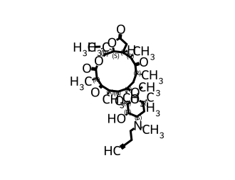 C#CCCN(C)[C@H]1C[C@@H](C)O[C@@H](O[C@@H]2[C@@H](C)C(=O)[C@@H](C)C(=O)O[C@H](CC)[C@@]3(C)OC(=O)C[C@@H]3[C@@H](C)C(=O)[C@H](C)C[C@@]2(C)OC)[C@@H]1O